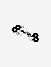 Cc1ccc2cccc(C)c2c1NCCNCCNc1cccc2cccc(S)c12